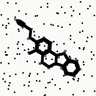 Cc1c(OCC#N)ccc2c1OCC1c3ccccc3OC21